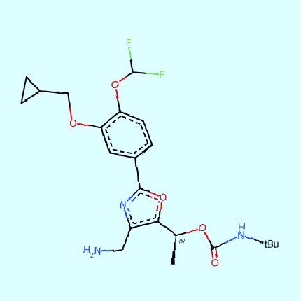 C[C@H](OC(=O)NC(C)(C)C)c1oc(-c2ccc(OC(F)F)c(OCC3CC3)c2)nc1CN